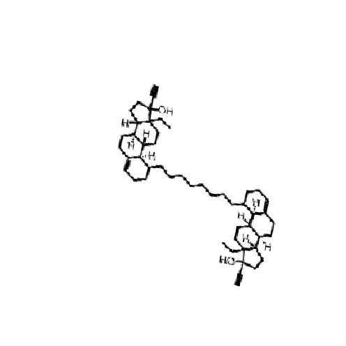 C#CC1(O)CC[C@H]2[C@@H]3CCC4=CCCC(CCCCCCCCC5CCC=C6CC[C@@H]7[C@H](CCC8(CC)[C@H]7CCC8(O)C#C)[C@H]65)[C@@H]4[C@H]3CCC21CC